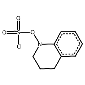 O=S(=O)(Cl)ON1CCCc2ccccc21